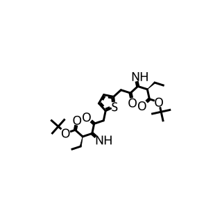 CC[C@H](C(=N)C(=O)Cc1ccc(CC(=O)C(=N)[C@@H](CC)C(=O)OC(C)(C)C)s1)C(=O)OC(C)(C)C